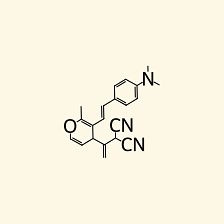 C=C(C(C#N)C#N)C1C=COC(C)=C1C=Cc1ccc(N(C)C)cc1